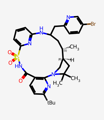 C[C@H]1CC(Cc2ccc(Br)cn2)Nc2cccc(n2)S(=O)(=O)NC(=O)c2ccc(C(C)(C)C)nc2N2C[C@@H]1CC2(C)C